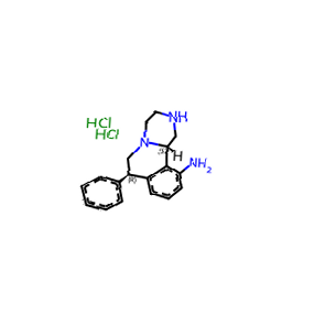 Cl.Cl.Nc1cccc2c1[C@H]1CNCCN1C[C@@H]2c1ccccc1